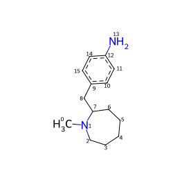 CN1CCCCCC1Cc1ccc(N)cc1